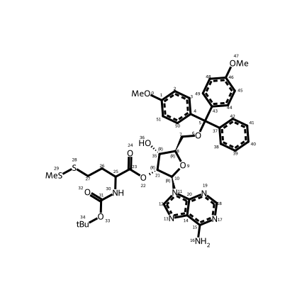 COc1ccc(C(OC[C@H]2O[C@@H](n3cnc4c(N)ncnc43)[C@H](OC(=O)C(CCSSC)NC(=O)OC(C)(C)C)[C@@H]2O)(c2ccccc2)c2ccc(OC)cc2)cc1